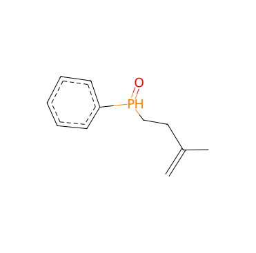 C=C(C)CC[PH](=O)c1ccccc1